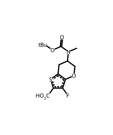 CN(C(=O)OC(C)(C)C)C1COc2c(sc(C(=O)O)c2F)C1